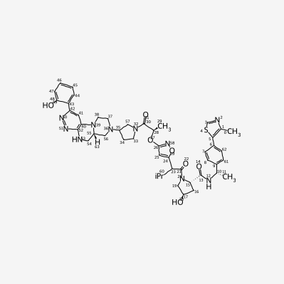 Cc1ncsc1-c1ccc([C@H](C)NC(=O)[C@@H]2C[C@@H](O)CN2C(=O)C(c2cc(O[C@H](C)C(=O)N3CCC(N4CCN5c6cc(-c7ccccc7O)nnc6NC[C@H]5C4)C3)no2)C(C)C)cc1